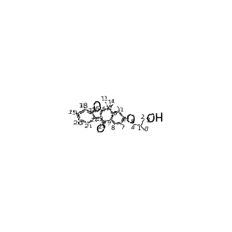 CC(CO)COc1ccc2c(c1)C(C)(C)c1oc3ccccc3c1C2=O